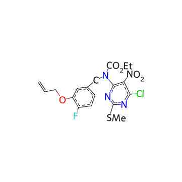 C=CCOc1cc(CN(C(=O)OCC)c2nc(SC)nc(Cl)c2[N+](=O)[O-])ccc1F